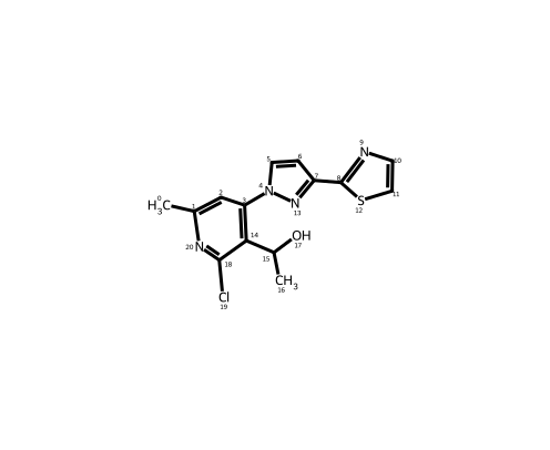 Cc1cc(-n2ccc(-c3nccs3)n2)c(C(C)O)c(Cl)n1